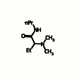 CC[CH]NC(=O)C(CC)N(C)C